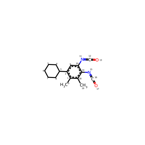 Cc1c(C2CCCCC2)cc(N=C=O)c(N=C=O)c1C